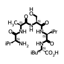 CC[C@H](C)[C@H](NC(=O)[C@@H](NC(=O)[C@H](CO)NC(=O)[C@H](C)NC(=O)[C@@H](N)C(C)C)C(C)C)C(=O)O